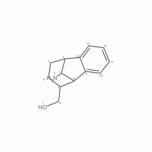 NC1C2CCC(CO)C1c1ccccc12